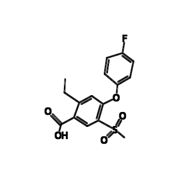 CCc1cc(Oc2ccc(F)cc2)c(S(C)(=O)=O)cc1C(=O)O